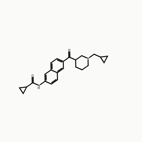 O=C(Nc1ccc2cc(C(=O)C3CCCN(CC4CC4)C3)ccc2c1)C1CC1